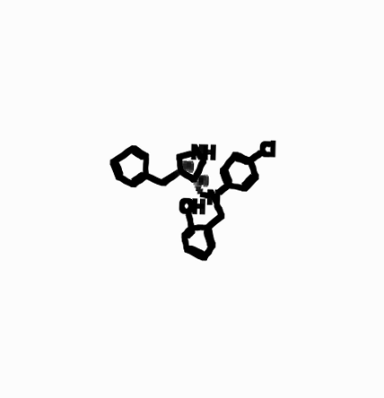 Oc1ccccc1CN(C[C@H]1CNC[C@@H]1Cc1ccccc1)c1ccc(Cl)cc1